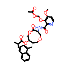 COc1ccnc(C(=O)N[C@H]2COC[C@H](Cc3cccc4ccccc34)[C@@H](OC(=O)C(C)C)[C@H](C)OC2=O)c1OCOC(C)=O